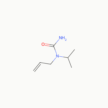 C=CCN(C(N)=O)C(C)C